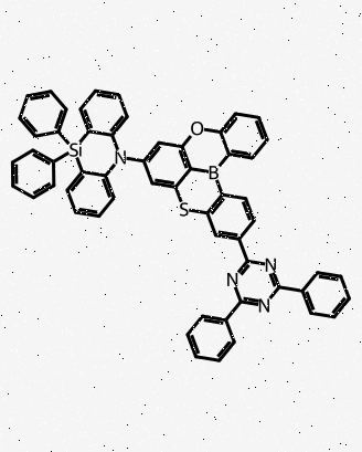 c1ccc(-c2nc(-c3ccccc3)nc(-c3ccc4c(c3)Sc3cc(N5c6ccccc6[Si](c6ccccc6)(c6ccccc6)c6ccccc65)cc5c3B4c3ccccc3O5)n2)cc1